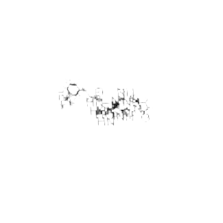 N=C1N[C@H]2[C@H](CN3C(=O)CCC3=O)NC(=N)N3C[C@H](NC(=O)CCc4cccc(C(F)(F)F)c4)C(O)(O)[C@]23N1